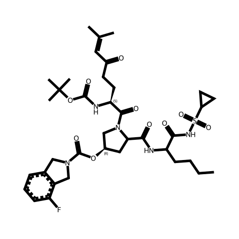 CCCCC(NC(=O)C1C[C@@H](OC(=O)N2Cc3cccc(F)c3C2)CN1C(=O)[C@H](CCC(=O)C=C(C)C)NC(=O)OC(C)(C)C)C(=O)NS(=O)(=O)C1CC1